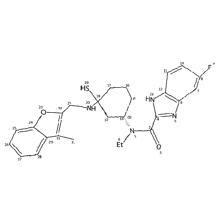 CCN(C(=O)c1nc2cc(F)ccc2[nH]1)[C@H]1CCCC(S)(NCc2oc3ccccc3c2C)C1